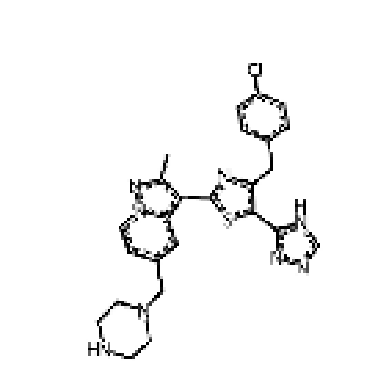 Cc1nn2ccc(CN3CCNCC3)cc2c1-c1nc(Cc2ccc(Cl)cc2)c(-c2nnc[nH]2)s1